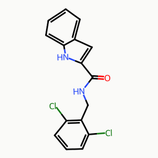 O=C(NCc1c(Cl)cccc1Cl)c1cc2ccccc2[nH]1